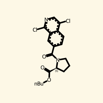 CCCCOC(=O)[C@@H]1CCCN1C(=O)c1ccc2c(Cl)cnc(Cl)c2c1